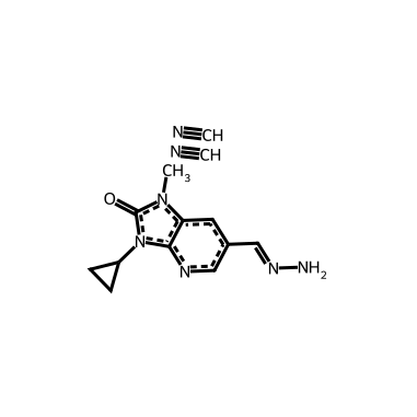 C#N.C#N.Cn1c(=O)n(C2CC2)c2ncc(C=NN)cc21